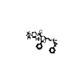 CS(=O)(=O)N1CCN(C(=O)[C@H](CCCCN[C@@H]2C[C@H]2c2ccccc2)NC(=O)c2ccccc2)CC1